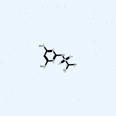 COc1cc(OC)nc(NS(=O)(=O)C(C#N)C(C)C)n1